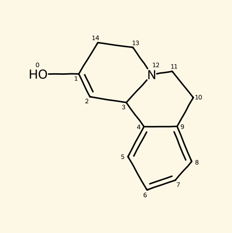 OC1=CC2c3ccccc3CCN2CC1